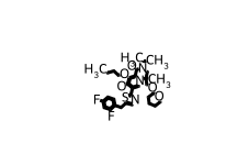 CCCCOc1c2n(cc(-c3ncc(Cc4ccc(F)cc4F)s3)c1=O)C(C)(COC1CCCCO1)CN(C(C)C)C2=O